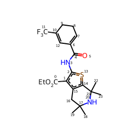 CCOC(=O)c1c(NC(=O)C2=CCCC(C(F)(F)F)=C2)sc2c1CC(C)(C)NC2(C)C